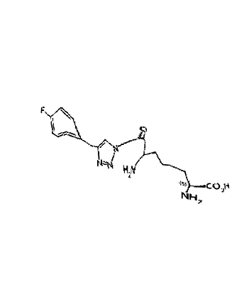 NC(CCC[C@H](N)C(=O)O)C(=O)n1cc(-c2ccc(F)cc2)nn1